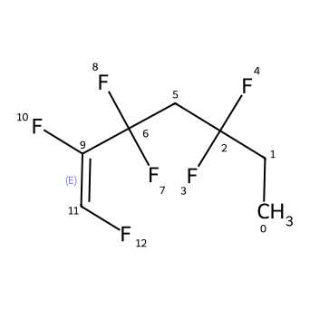 CCC(F)(F)CC(F)(F)/C(F)=C\F